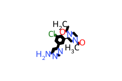 C=CC(=O)N1CCN(C(C)=O)C[C@H]1c1cc(Cl)cc(-c2cc(N)ncn2)c1